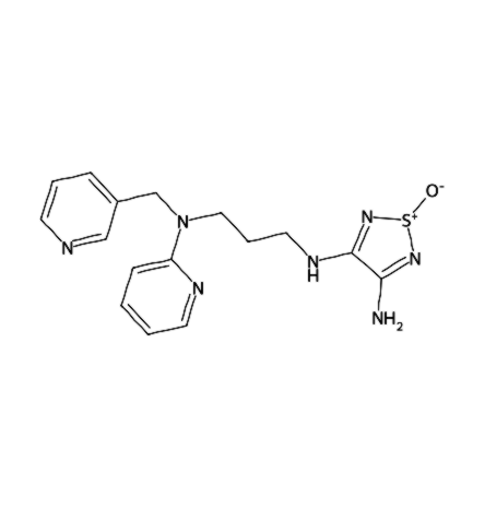 Nc1n[s+]([O-])nc1NCCCN(Cc1cccnc1)c1ccccn1